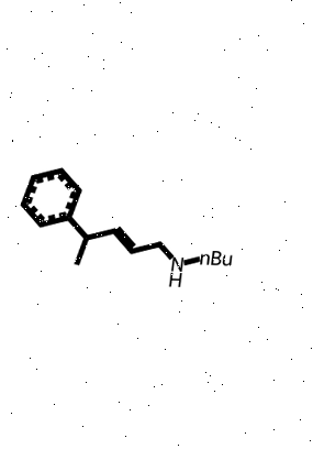 CCCCNCC=CC(C)c1ccccc1